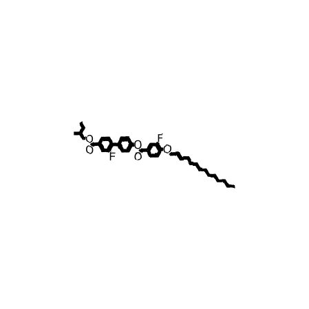 CCCCCCCCCCCCCCOc1ccc(C(=O)Oc2ccc(-c3ccc(C(=O)OCC(C)CC)cc3F)cc2)cc1F